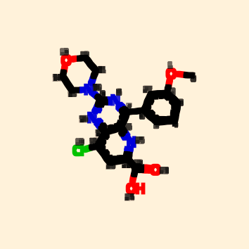 COc1cccc(-c2nc(N3CCOCC3)nc3c(Cl)cc(C(=O)O)nc23)c1